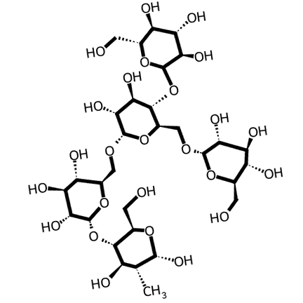 C[C@@H]1[C@@H](O)[C@H](O[C@H]2O[C@H](CO[C@H]3O[C@H](CO[C@H]4O[C@H](CO)[C@@H](O)[C@H](O)[C@H]4O)[C@@H](OC4O[C@H](CO)[C@@H](O)[C@H](O)[C@H]4O)[C@H](O)[C@H]3O)[C@@H](O)[C@H](O)[C@H]2O)[C@@H](CO)O[C@@H]1O